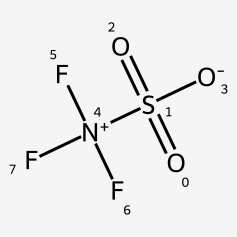 O=S(=O)([O-])[N+](F)(F)F